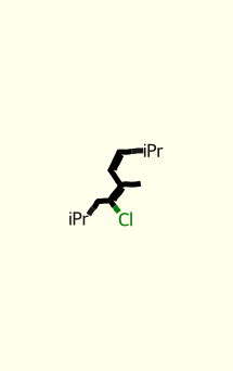 CC(/C=C\C(C)C)=C(\Cl)CC(C)C